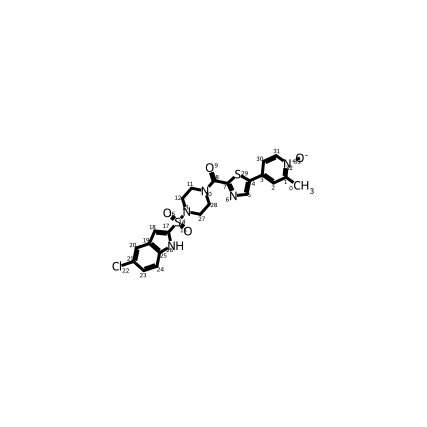 Cc1cc(-c2cnc(C(=O)N3CCN(S(=O)(=O)c4cc5cc(Cl)ccc5[nH]4)CC3)s2)cc[n+]1[O-]